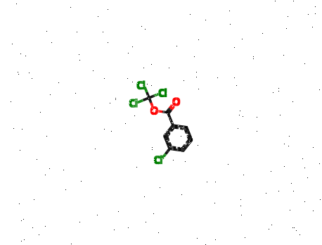 O=C(OC(Cl)(Cl)Cl)c1cccc(Cl)c1